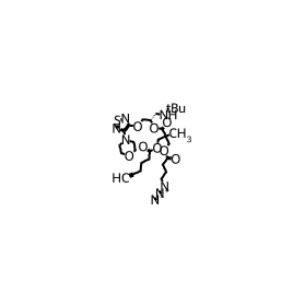 C#CCCCC(=O)OCC(C)(COC(=O)CCCN=[N+]=[N-])C(=O)O[C@@H](CNC(C)(C)C)COc1nsnc1N1CCOCC1